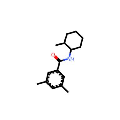 Cc1cc(C)cc(C(=O)NC2CCCCC2C)c1